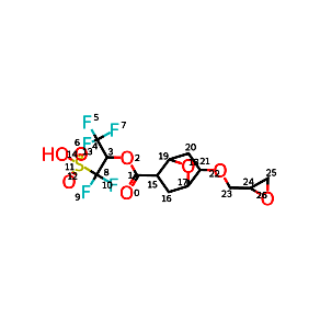 O=C(OC(C(F)(F)F)C(F)(F)S(=O)(=O)O)C1CC2OC1CC2OCC1CO1